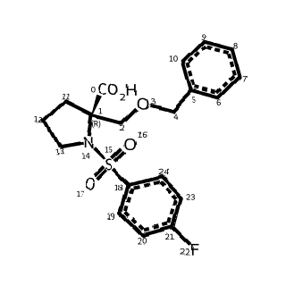 O=C(O)[C@]1(COCc2ccccc2)CCCN1S(=O)(=O)c1ccc(F)cc1